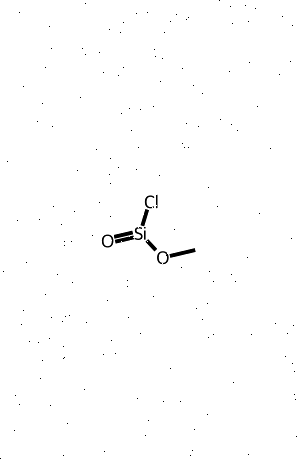 CO[Si](=O)Cl